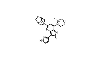 C[C@@H]1COCCN1c1cc(N2CC3CCC(C2)O3)nc2c(-c3cc[nH]n3)n(C)nc12